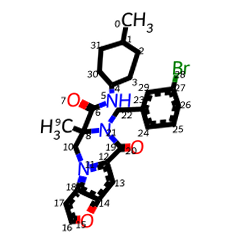 CC1CCC(NC(=O)C2(C)Cn3c(cc4occc43)C(=O)N2Cc2cccc(Br)c2)CC1